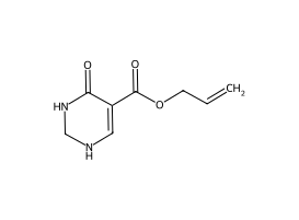 C=CCOC(=O)C1=CNCNC1=O